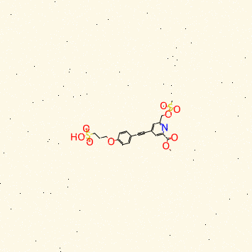 COC(=O)c1cc(C#Cc2ccc(OCCCS(=O)(=O)O)cc2)cc(COS(C)(=O)=O)n1